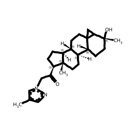 Cc1cnn(CC(=O)[C@H]2CC[C@H]3[C@@H]4CCC56CC5[C@](C)(O)CC[C@@H]6[C@H]4CC[C@]23C)c1